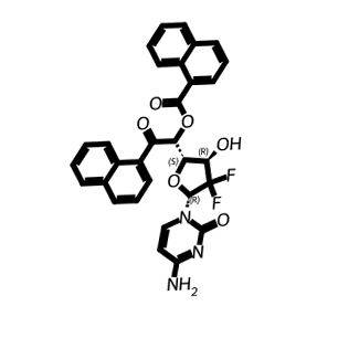 Nc1ccn([C@@H]2O[C@H](C(OC(=O)c3cccc4ccccc34)C(=O)c3cccc4ccccc34)[C@@H](O)C2(F)F)c(=O)n1